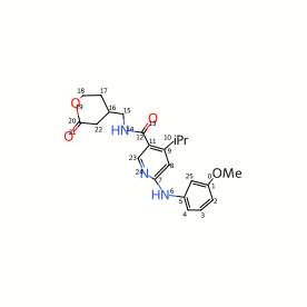 COc1cccc(Nc2cc(C(C)C)c(C(=O)NCC3CCOC(=O)C3)cn2)c1